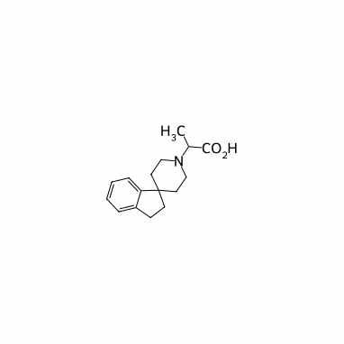 CC(C(=O)O)N1CCC2(CCc3ccccc32)CC1